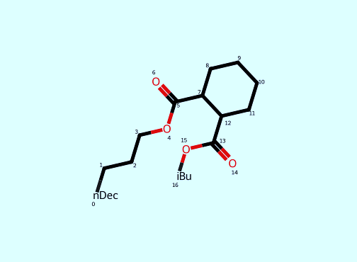 CCCCCCCCCCCCCOC(=O)C1CCCCC1C(=O)OC(C)CC